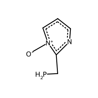 [O-][n+]1cccnc1CP